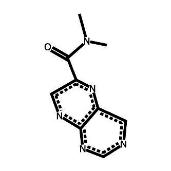 CN(C)C(=O)c1cnc2ncncc2n1